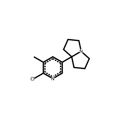 Cc1cc(C23CCCN2CCC3)cnc1Cl